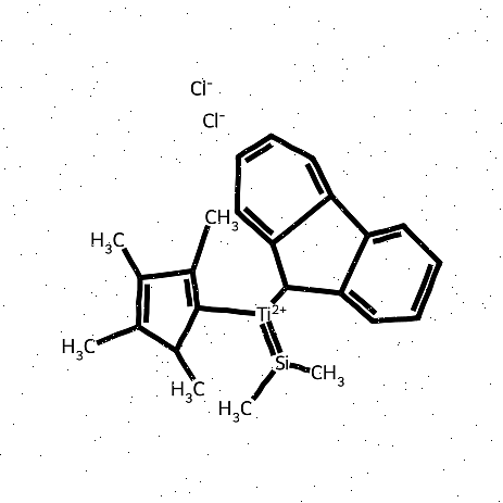 CC1=C(C)C(C)[C]([Ti+2]([CH]2c3ccccc3-c3ccccc32)=[Si](C)C)=C1C.[Cl-].[Cl-]